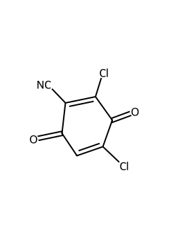 N#CC1=C(Cl)C(=O)C(Cl)=CC1=O